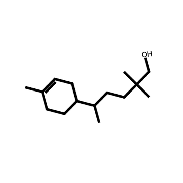 CC1=CCC(C(C)CCC(C)(C)CO)CC1